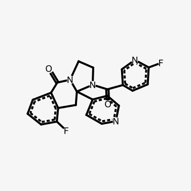 O=C(c1ccc(F)nc1)N1CCN2C(=O)c3cccc(F)c3CC12c1ccncc1